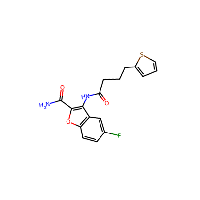 NC(=O)c1oc2ccc(F)cc2c1NC(=O)CCCc1cccs1